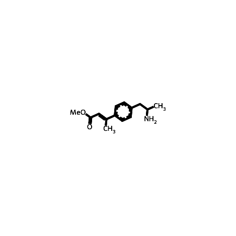 COC(=O)/C=C(\C)c1ccc(CC(C)N)cc1